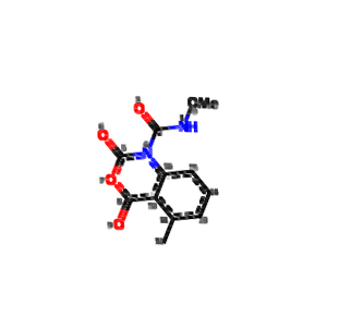 CONC(=O)n1c(=O)oc(=O)c2c(C)cccc21